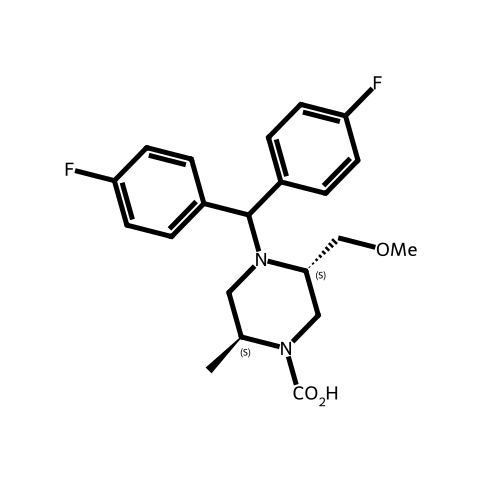 COC[C@@H]1CN(C(=O)O)[C@@H](C)CN1C(c1ccc(F)cc1)c1ccc(F)cc1